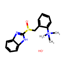 C[N+](C)(C)c1ccccc1C[S+]([O-])c1nc2ccccc2[nH]1.[OH-]